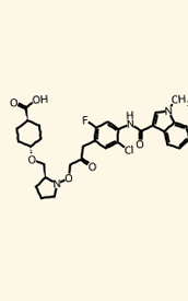 Cn1cc(C(=O)Nc2cc(F)c(CC(=O)CON3CCC[C@H]3CO[C@H]3CC[C@H](C(=O)O)CC3)cc2Cl)c2ccccc21